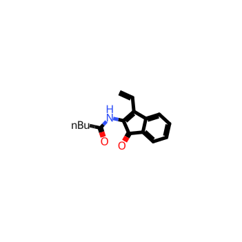 C=CC1=C(NC(=O)CCCC)C(=O)c2ccccc21